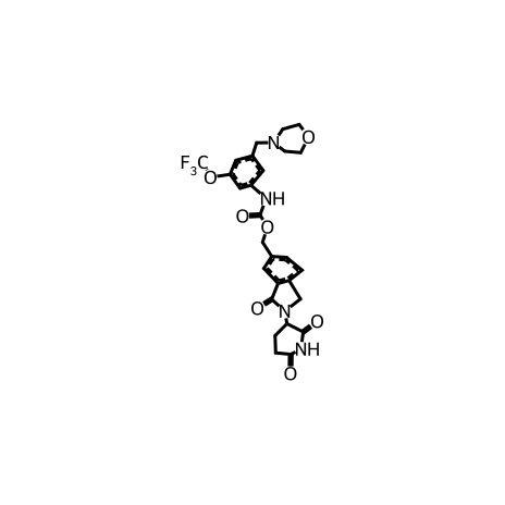 O=C1CCC(N2Cc3ccc(COC(=O)Nc4cc(CN5CCOCC5)cc(OC(F)(F)F)c4)cc3C2=O)C(=O)N1